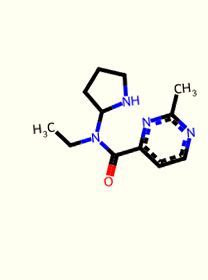 CCN(C(=O)c1ccnc(C)n1)C1CCCN1